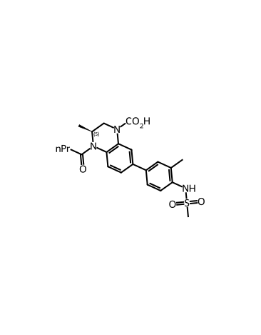 CCCC(=O)N1c2ccc(-c3ccc(NS(C)(=O)=O)c(C)c3)cc2N(C(=O)O)C[C@@H]1C